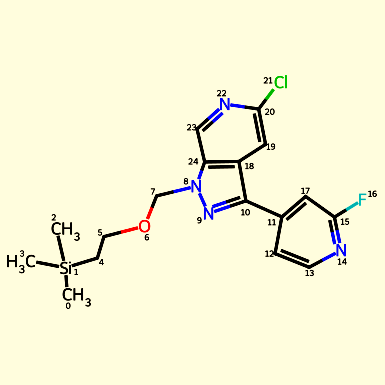 C[Si](C)(C)CCOCn1nc(-c2ccnc(F)c2)c2cc(Cl)ncc21